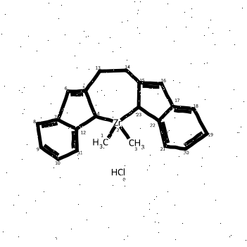 Cl.[CH3][Zr]1([CH3])[CH]2C(=Cc3ccccc32)CCC2=Cc3ccccc3[CH]21